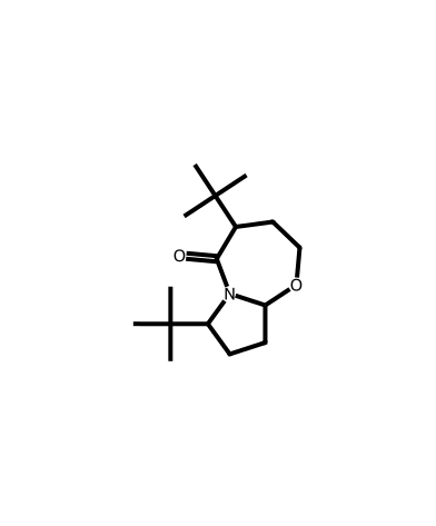 CC(C)(C)C1CCOC2CCC(C(C)(C)C)N2C1=O